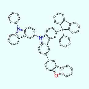 c1ccc(-n2c3ccccc3c3cc(-n4c5ccc(-c6ccc7oc8ccccc8c7c6)cc5c5cc(C6(c7ccccc7)c7ccccc7-c7ccccc76)ccc54)ccc32)cc1